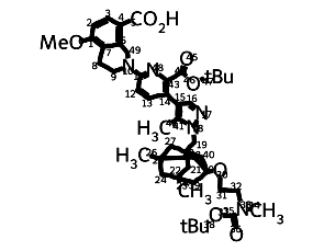 COc1ccc(C(=O)O)c2c1CCN(c1ccc(-c3cnn(CC45CC6(C)CC(C)(C4)CC(OCCN(C)C(=O)OC(C)(C)C)(C6)C5)c3C)c(C(=O)OC(C)(C)C)n1)C2